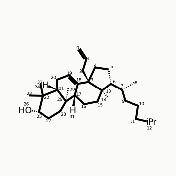 C=CC[C@@]12CC[C@H]([C@H](C)CCCC(C)C)[C@@]1(C)CC[C@H]1C2=CC[C@H]2C(C)(C)[C@@H](O)CC[C@]12C